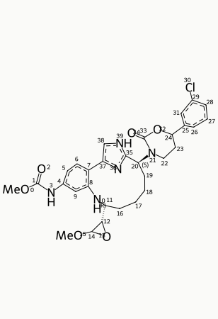 COC(=O)Nc1ccc2c(c1)N[C@@H](C1OC1OC)CCCC[C@H](N1CCC(c3cccc(Cl)c3)OC1=O)c1nc-2c[nH]1